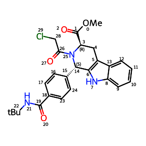 COC(=O)[C@H]1Cc2c([nH]c3ccccc23)[C@H](c2ccc(C(=O)NC(C)(C)C)cc2)N1C(=O)CCl